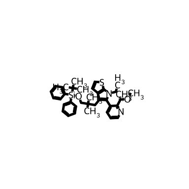 CCn1c(-c2cccnc2[C@H](C)OC)c(CC(C)(C)CO[Si](c2ccccc2)(c2ccccc2)C(C)(C)C)c2ccsc21